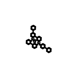 c1ccc(-c2ccc(N3c4cccc5c4B4c6c(cccc63)-c3cc(-c6ccccc6)ccc3N4c3ccccc3-5)cc2)cc1